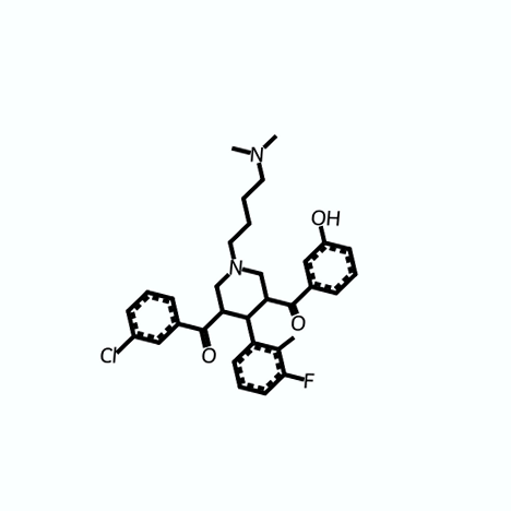 Cc1c(F)cccc1C1C(C(=O)c2cccc(O)c2)CN(CCCCN(C)C)CC1C(=O)c1cccc(Cl)c1